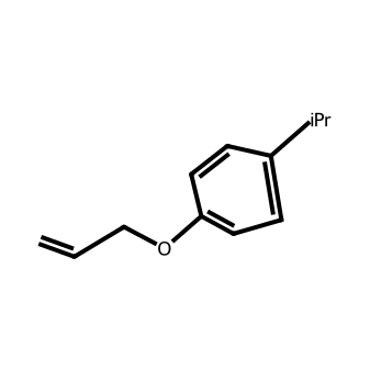 C=CCOc1ccc(C(C)C)cc1